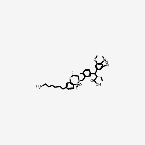 CC[C@H](C(=O)O)C(c1ccc(C)c(CN2C[C@@H](C)Oc3cc(CCCCCCN)ccc3S2(=O)=O)c1)c1cc(OC)c2c(c1)nnn2C